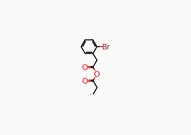 [CH2]CC(=O)OC(=O)Cc1ccccc1Br